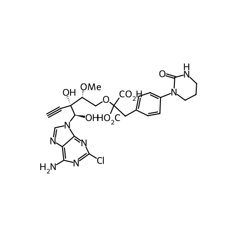 C#C[C@@](O)([C@@H](COC(Cc1ccc(N2CCCNC2=O)cc1)(C(=O)O)C(=O)O)OC)[C@@H](O)n1cnc2c(N)nc(Cl)nc21